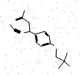 CC#SC(CC(=O)O)c1ccc(OCC(C)(C)C)cc1